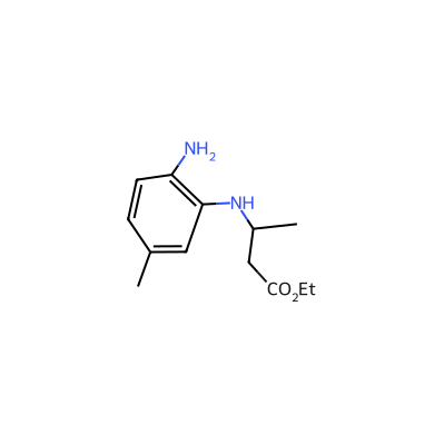 CCOC(=O)CC(C)Nc1cc(C)ccc1N